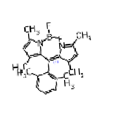 CC1=CC(C)=N/C1=C(/c1c(C)cccc1C)c1c(C)cc(C)n1B(F)F